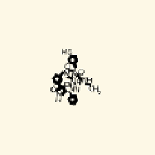 C=CCNCC(=O)N1[C@@H](NC(=O)NCc2ccccc2)CN(Cc2cccc(-c3ccc[nH]c3=O)c2)C(=O)[C@@H]1Cc1ccc(O)cc1